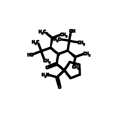 CC(C)[C@@H](N(C(=O)C1(C(N)=O)CCCC1)[C@H](C(C)C)C(C)(C)O)C(C)(C)O